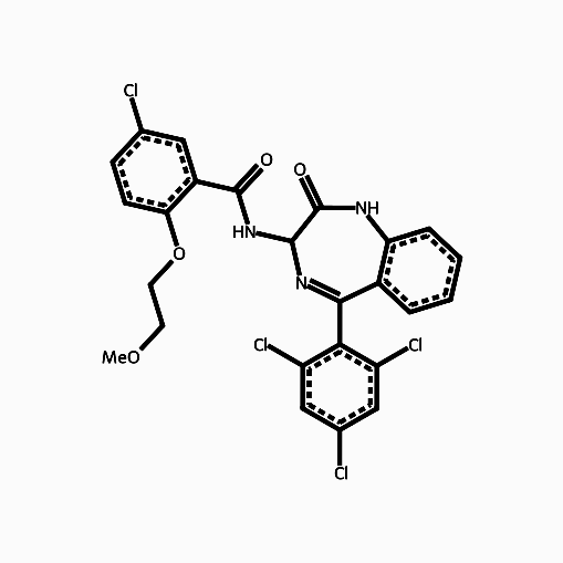 COCCOc1ccc(Cl)cc1C(=O)NC1N=C(c2c(Cl)cc(Cl)cc2Cl)c2ccccc2NC1=O